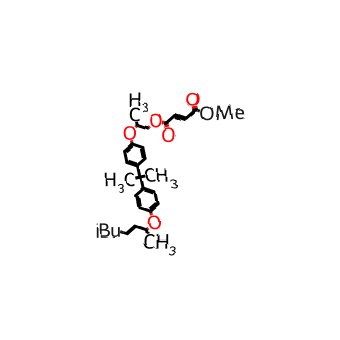 CCC(C)CCC(C)Oc1ccc(C(C)(C)c2ccc(OC(C)COC(=O)/C=C/C(=O)OC)cc2)cc1